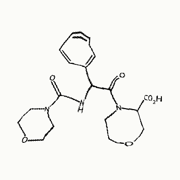 O=C(O)C1COCCN1C(=O)C(NC(=O)N1CCOCC1)c1ccccc1